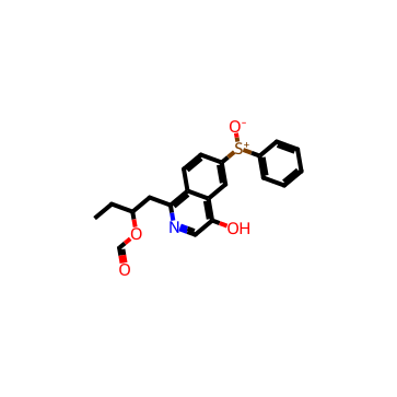 CCC(Cc1ncc(O)c2cc([S+]([O-])c3ccccc3)ccc12)OC=O